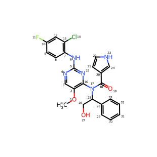 COc1cnc(Nc2ccc(F)cc2Cl)nc1N(C(=O)c1cc[nH]c1)C(CO)c1ccccc1